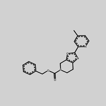 Cc1ccnc(-c2nc3c(o2)CN(C(=O)OCc2ccccc2)CC3)c1